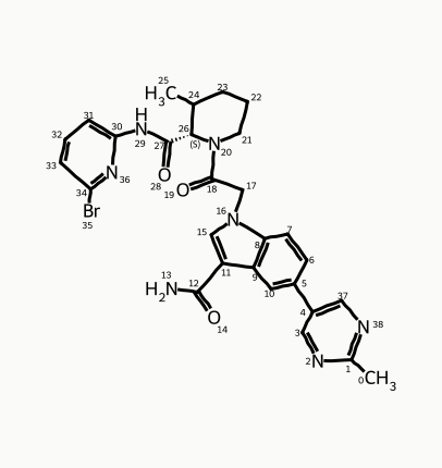 Cc1ncc(-c2ccc3c(c2)c(C(N)=O)cn3CC(=O)N2CCCC(C)[C@H]2C(=O)Nc2cccc(Br)n2)cn1